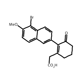 COc1ccc2cc(C3=C(CC(=O)O)CCCC3=O)ccc2c1Br